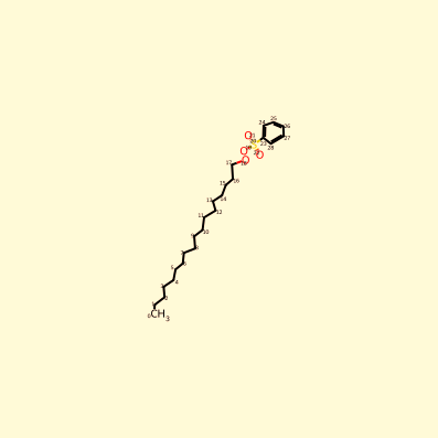 CCCCCCCCCCCCCCCCCCOOS(=O)(=O)c1ccccc1